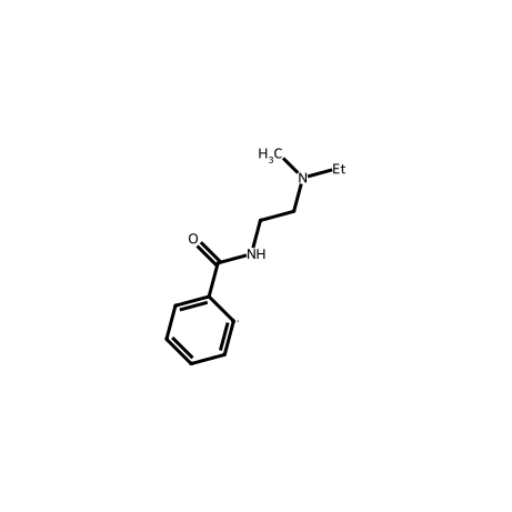 CCN(C)CCNC(=O)c1[c]cccc1